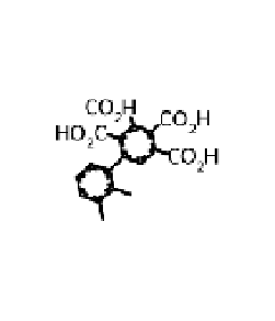 Cc1cccc(-c2cc(C(=O)O)c(C(=O)O)c(C(=O)O)c2C(=O)O)c1C